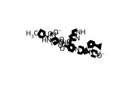 C[C@H]1CC[C@@H](CNc2ncc(S(=O)(=O)NC(=O)c3ccc(N4CCC5(CC4)CC(N4CC[S+]([O-])C[C@H]4c4ccccc4C4CC4)C5)cc3Oc3cnc4[nH]ccc4c3)cc2[N+](=O)[O-])CC1